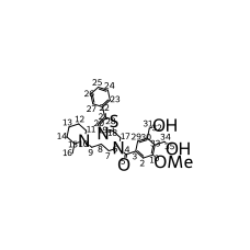 COc1cc(C(=O)N(CCCN2CCCCC2C)Cc2ncc(-c3ccccc3)s2)cc(CO)c1CO